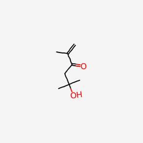 C=C(C)C(=O)CC(C)(C)O